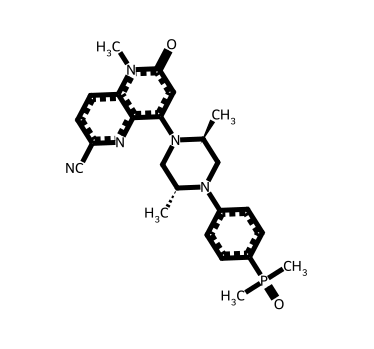 C[C@@H]1CN(c2cc(=O)n(C)c3ccc(C#N)nc23)[C@@H](C)CN1c1ccc(P(C)(C)=O)cc1